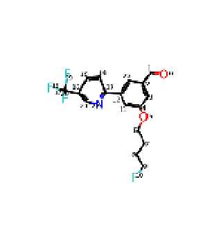 O=Cc1cc(OCCCCF)cc(-c2ccc(C(F)(F)F)cn2)c1